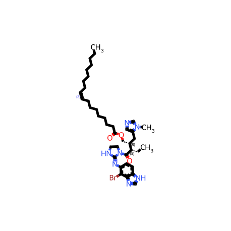 CCCCCCCC/C=C\CCCCCCCC(=O)OC[C@H](Cc1cncn1C)[C@H](CC)C(=O)N1CCN/C1=N/c1ccc2[nH]cnc2c1Br